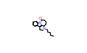 CCCCCN1CCc2c3n(c4ccccc24)C(=O)CCCC31